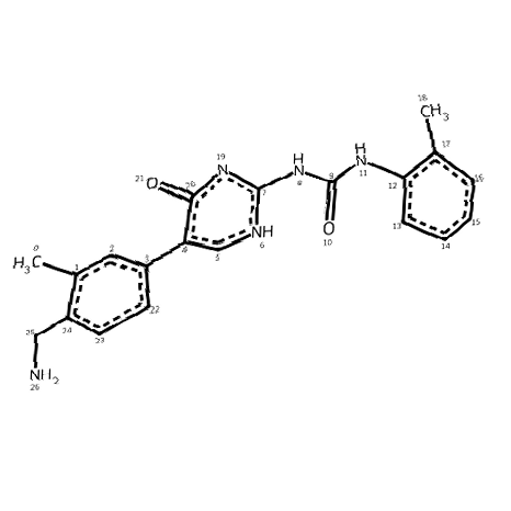 Cc1cc(-c2c[nH]c(NC(=O)Nc3ccccc3C)nc2=O)ccc1CN